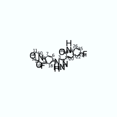 N=N/C(=C\Nc1ccc(N2CCOCC2=O)c(F)c1)c1cc2cc(F)ccc2[nH]c1=O